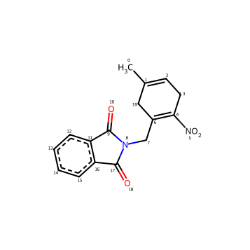 CC1=C[CH]C([N+](=O)[O-])=C(CN2C(=O)c3ccccc3C2=O)C1